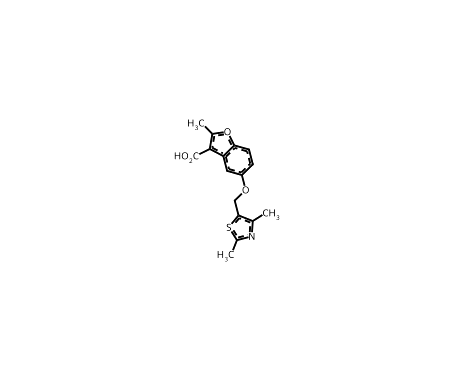 Cc1nc(C)c(COc2ccc3oc(C)c(C(=O)O)c3c2)s1